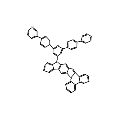 c1cncc(-c2ccc(-c3cc(-n4c5ccccc5c5cc6c(cc54)cc4c5ccccc5c5ccccc5n64)cc(-c4ccc(-c5cccnc5)cc4)n3)cc2)c1